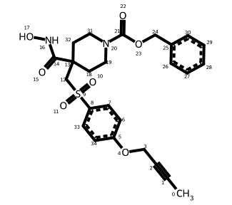 CC#CCOc1ccc(S(=O)(=O)CC2(C(=O)NO)CCN(C(=O)OCc3ccccc3)CC2)cc1